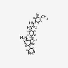 Cc1ccc(NC(=O)Nc2ccc(-c3csc4c(-c5cncnc5)cnc(N)c34)cc2)cc1F